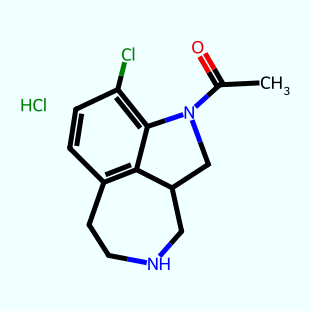 CC(=O)N1CC2CNCCc3ccc(Cl)c1c32.Cl